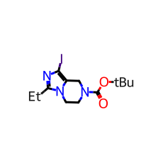 CCc1nc(I)c2n1CCN(C(=O)OC(C)(C)C)C2